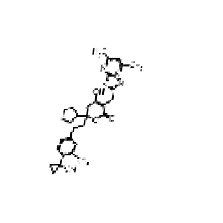 Cc1cc(C)n2nc(CC3=C(O)CC(CCc4ccc(C5(C#N)CC5)c(C(F)(F)F)c4)(C4CCCC4)OC3=O)nc2n1